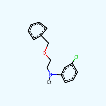 CCN(CCOCc1ccccc1)c1cccc(Cl)c1